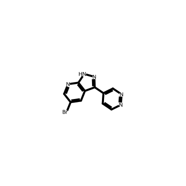 Brc1cnc2[nH]nc(-c3ccnnc3)c2c1